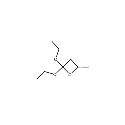 CCOC1(OCC)CC(C)O1